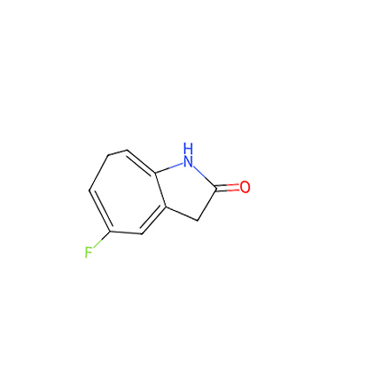 O=C1CC2=CC(F)=CCC=C2N1